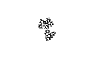 O=P(c1ccc(-c2ccc3c(ccc4c5ccccc5c5nc6ccccc6n5c34)c2)nc1)(c1cc2ccccc2c2ccccc12)c1cc2ccccc2c2ccccc12